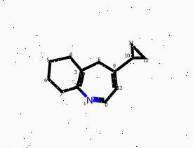 C1=NC2=C(CCCC2)CC(C2CC2)=C1